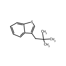 CC(C)(C)Cc1csc2ccccc12